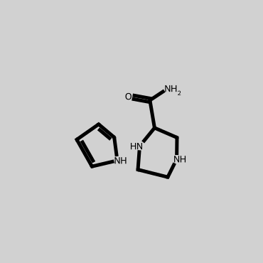 NC(=O)C1CNCCN1.c1cc[nH]c1